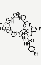 CCc1ccc(NC(=O)NC(Cc2cc(F)cc(F)c2)C(=O)N[C@@H]2C(=O)N3CCC[C@H]3C(=O)N(C)[C@@H](C)C(=O)N[C@@H](C)C(=O)N3CCCC3C(=O)O[C@H]2C)cc1